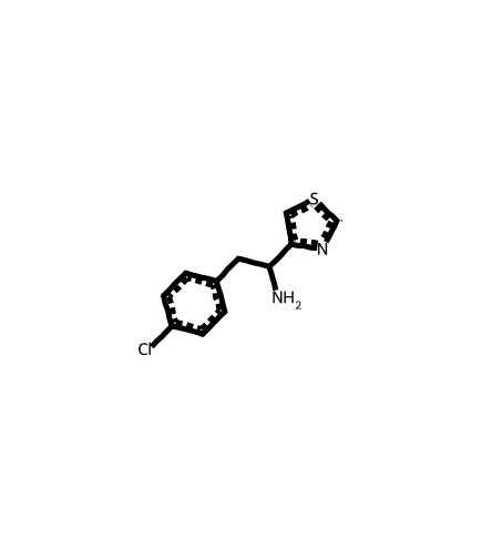 NC(Cc1ccc(Cl)cc1)c1cs[c]n1